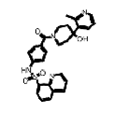 Cc1ncccc1C1(O)CCN(C(=O)c2ccc(NS(=O)(=O)c3cccc4cccnc34)cc2)CC1